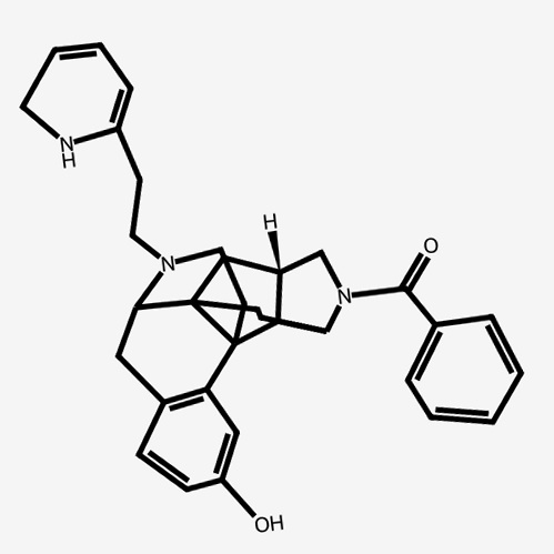 O=C(c1ccccc1)N1C[C@H]2CC34CCC1C2C31CCN(CCC2=CC=CCN2)C4Cc2ccc(O)cc21